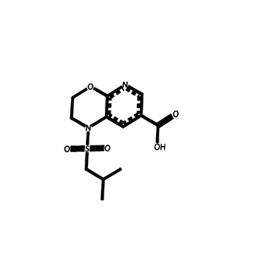 CC(C)CS(=O)(=O)N1CCOc2ncc(C(=O)O)cc21